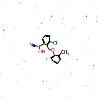 Cc1ccccc1OCc1c(Cl)cccc1[C@@H](O)C#N